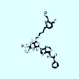 CC1(C)O[C@@H]2[C@H](O1)[C@@H](COCCCc1ccc(F)c(C=NO)n1)O[C@H]2n1cnc2c(NC(=O)c3ccccc3)ncnc21